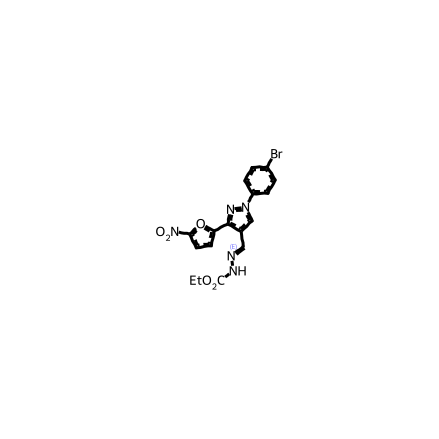 CCOC(=O)N/N=C/c1cn(-c2ccc(Br)cc2)nc1-c1ccc([N+](=O)[O-])o1